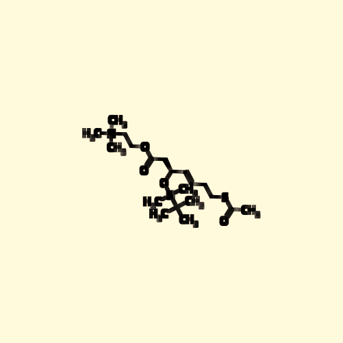 CC(=O)SCC/C=C/[C@H](CC(=O)OCC[Si](C)(C)C)O[Si](C)(C)C(C)(C)C